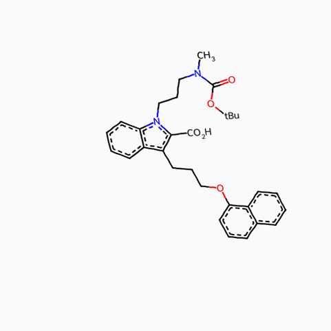 CN(CCCn1c(C(=O)O)c(CCCOc2cccc3ccccc23)c2ccccc21)C(=O)OC(C)(C)C